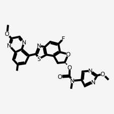 COc1cnc2c(-c3nc4cc(F)c5c(c4s3)C[C@@H](OC(=O)N(C)c3cnc(OC)nc3)O5)cc(C)cc2n1